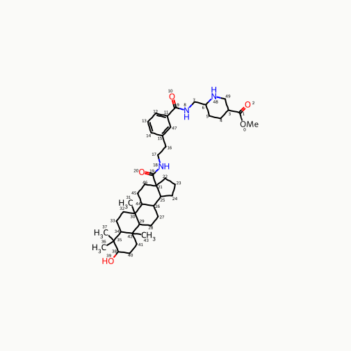 COC(=O)C1CCC(CNC(=O)c2cccc(CCNC(=O)C34CCCC3C3CCC5C(C)(CCC6C(C)(C)C(O)CCC65C)C3CC4)c2)NC1